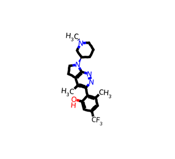 Cc1cc(C(F)(F)F)cc(O)c1-c1nnc2c(c1C)CCN2[C@@H]1CCCN(C)C1